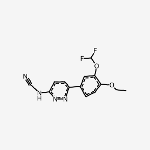 CCOc1ccc(-c2ccc(NC#N)nn2)cc1OC(F)F